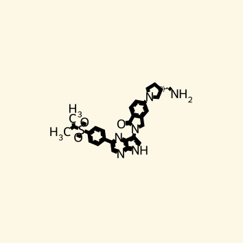 CC(C)S(=O)(=O)c1ccc(-c2cnc3[nH]cc(N4Cc5cc(N6CC[C@H](CN)C6)ccc5C4=O)c3n2)cc1